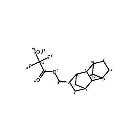 O=C(OC[C@@H]1CC2CC1C1C3CCC(C3)C21)C(F)(F)S(=O)(=O)O